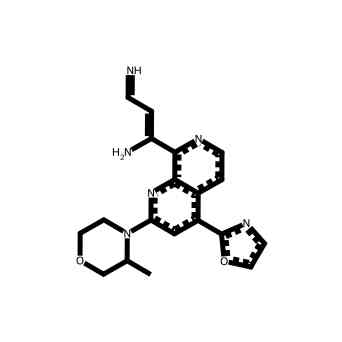 CC1COCCN1c1cc(-c2ncco2)c2ccnc(/C(N)=C/C=N)c2n1